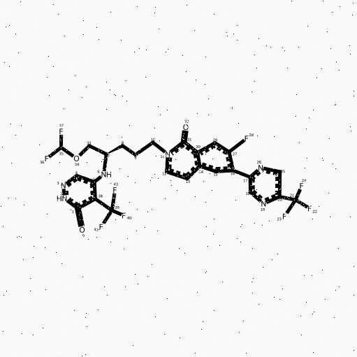 O=c1[nH]ncc(N[C@H](CCCn2ccc3cc(-c4cnc(C(F)(F)F)cn4)c(F)cc3c2=O)COC(F)F)c1C(F)(F)F